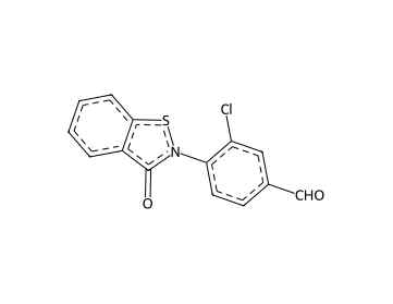 O=Cc1ccc(-n2sc3ccccc3c2=O)c(Cl)c1